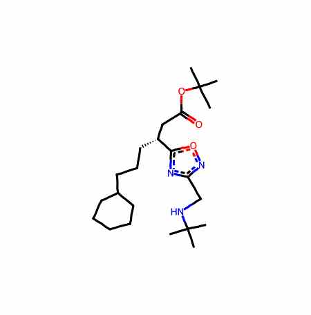 CC(C)(C)NCc1noc([C@H](CCCC2CCCCC2)CC(=O)OC(C)(C)C)n1